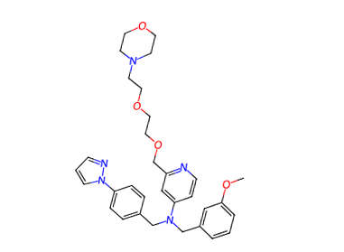 COc1cccc(CN(Cc2ccc(-n3cccn3)cc2)c2ccnc(COCCOCCN3CCOCC3)c2)c1